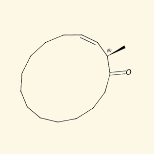 C[C@@H]1C=CCCCCCCCCCCCC1=O